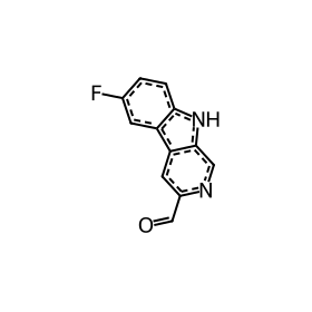 O=Cc1cc2c(cn1)[nH]c1ccc(F)cc12